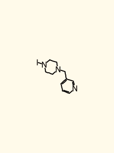 IN1CCN(Cc2cccnc2)CC1